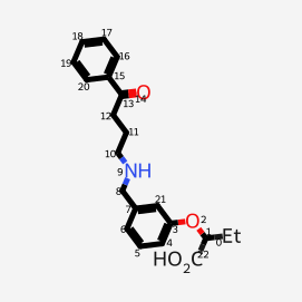 CCC(Oc1cccc(CNCCCC(=O)c2ccccc2)c1)C(=O)O